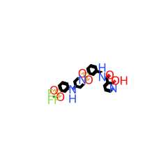 O=C(NCc1cccc(S(=O)(=O)N2CCC(Nc3cccc(S(=O)(=O)C(F)(F)F)c3)CC2)c1)c1cccnc1O